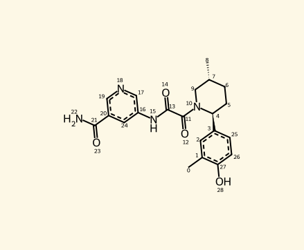 Cc1cc([C@@H]2CC[C@@H](C)CN2C(=O)C(=O)Nc2cncc(C(N)=O)c2)ccc1O